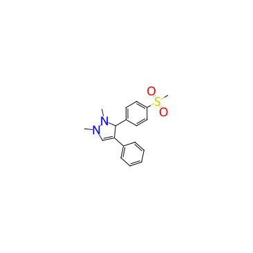 CN1C=C(c2ccccc2)C(c2ccc(S(C)(=O)=O)cc2)N1C